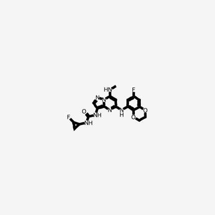 CNc1cc(Nc2cc(F)cc3c2OCCO3)nc2c(NC(=O)NC3CC3F)cnn12